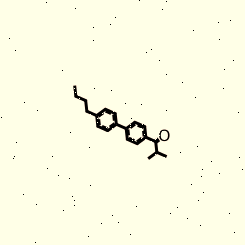 CCCCc1ccc(-c2ccc(C(=O)C(C)C)cc2)cc1